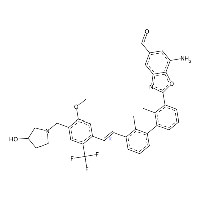 COc1cc(/C=C/c2cccc(-c3cccc(-c4nc5cc(C=O)cc(N)c5o4)c3C)c2C)c(C(F)(F)F)cc1CN1CCC(O)C1